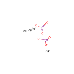 O=[PH]([O-])[O-].O=[PH]([O-])[O-].[Ag+].[Ag+].[Ag+].[Ag+]